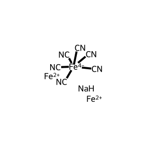 N#[C][Fe-4]([C]#N)([C]#N)([C]#N)([C]#N)[C]#N.[Fe+2].[Fe+2].[NaH]